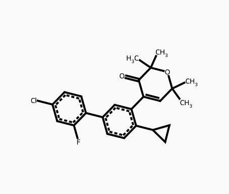 CC1(C)C=C(c2cc(-c3ccc(Cl)cc3F)ccc2C2CC2)C(=O)C(C)(C)O1